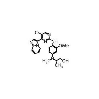 COc1cc(N(C)[C@H](C)CO)ccc1Nc1ncc(Cl)c(-c2cnc3ccccn23)n1